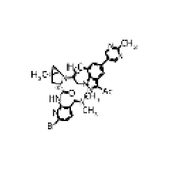 CC(=O)c1nn(CC(=O)N2C3C[C@]3(C)C[C@H]2C(=O)Nc2nc(Br)ccc2CN(C)C)c2c(C)cc(-c3cnc(C)nc3)cc12